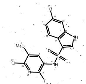 COc1cc(NS(=O)(=O)c2c[nH]c3cc(Cl)ccc23)c(F)nc1Cl